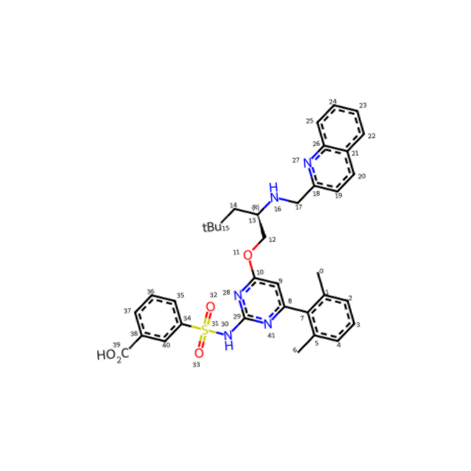 Cc1cccc(C)c1-c1cc(OC[C@@H](CC(C)(C)C)NCc2ccc3ccccc3n2)nc(NS(=O)(=O)c2cccc(C(=O)O)c2)n1